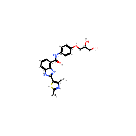 Cc1nc(C)c(-c2nc3c(C(=O)Nc4ccc(OC[C@@H](O)CO)cc4)cccc3[nH]2)s1